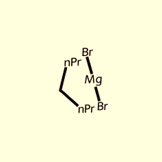 [Br][Mg][Br].[CH2]CCCCCC